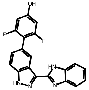 Oc1cc(F)c(-c2ccc3[nH]nc(-c4nc5ccccc5[nH]4)c3c2)c(F)c1